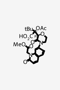 COC(=O)Cn1c(=O)ccc2ccc(N3CCO[C@H]([C@@](OC(C)=O)(C(=O)O)C(C)(C)C)C3=O)cc21